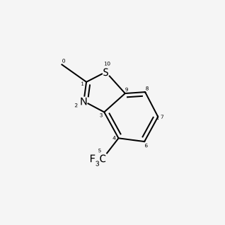 Cc1nc2c(C(F)(F)F)c[c]cc2s1